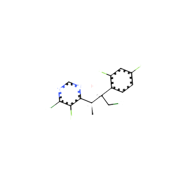 C[C@@H](c1ncnc(Cl)c1F)[C@](O)(CCl)c1ccc(F)cc1F